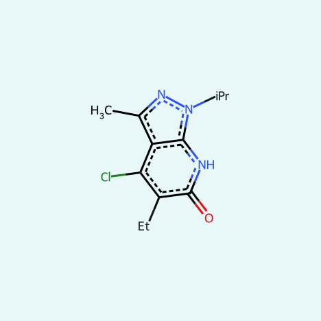 CCc1c(Cl)c2c(C)nn(C(C)C)c2[nH]c1=O